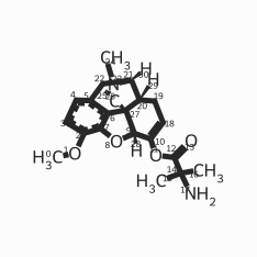 COc1ccc2c3c1O[C@H]1C(OC(=O)C(C)(C)N)=CC[C@H]4[C@@H](C2)N(C)CC[C@]314